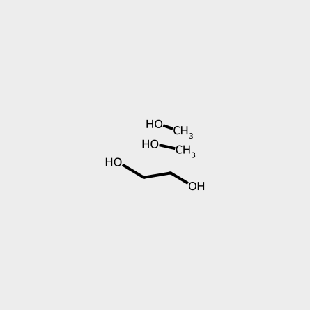 CO.CO.OCCO